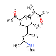 CC(CC(C)C(CC(C)C(=O)C(C)C)C(C)CC(C)C(=O)C(C)C)NC(C)(C)C